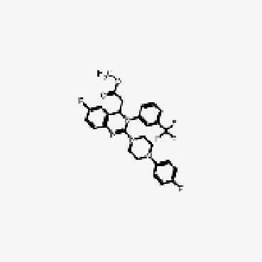 COC(=O)CC1c2cc(F)ccc2N=C(N2CCN(c3ccc(F)cc3)CC2)N1c1cccc(C(F)(F)F)c1